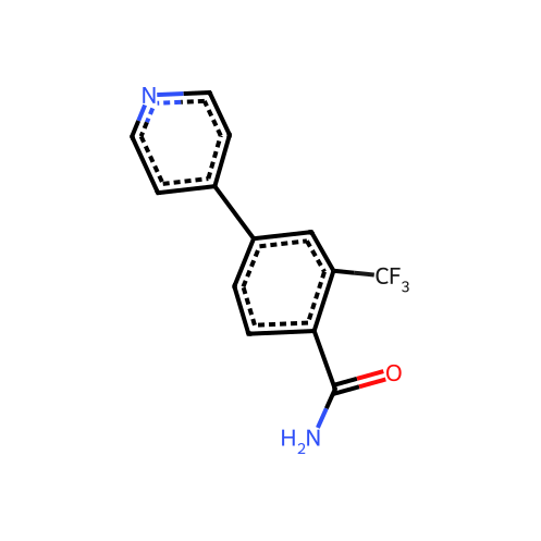 NC(=O)c1ccc(-c2ccncc2)cc1C(F)(F)F